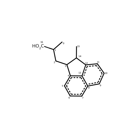 CC(CC1c2cccc3cccc(c23)C1C)C(=O)O